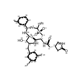 CCCC(CCC)S(=O)(=O)C[C@H](NC(=O)C[C@@H]1CNC(=O)C1)C(=O)N[C@@H](Cc1cc(F)cc(F)c1)[C@H](O)CNCc1cccc(C)c1